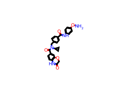 NOc1ccc(NC(=O)c2ccc(CN(C(=O)c3ccc4c(c3)OCC(=O)N4)C3CC3)cc2)cc1